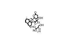 CCC(C)(C)C(=O)O[C@H]1C[C@@H](C)C=C2C=C[C@H](C)[C@H](CC[C@@H]3C[C@@H](O)CC(=O)O3)[C@H]21.O=[N+]([O-])C(O)C(O)CO